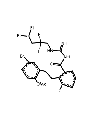 CCN(CC)CC(F)(F)CNC(=N)NC(=O)c1cccc(F)c1CCc1cc(Br)ccc1OC